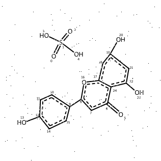 O=S(=O)(O)O.O=c1cc(-c2ccc(O)cc2)oc2cc(O)cc(O)c12